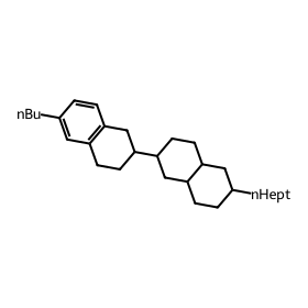 CCCCCCCC1CCC2CC(C3CCc4cc(CCCC)ccc4C3)CCC2C1